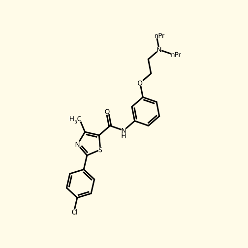 CCCN(CCC)CCOc1cccc(NC(=O)c2sc(-c3ccc(Cl)cc3)nc2C)c1